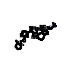 CCC/C(C(=N)c1ccnc(OC[C@@]2(C)CCCN2C)n1)=C(/O)[C@H]1CCCc2sc(/N=C/N(C)C)c(C#N)c21